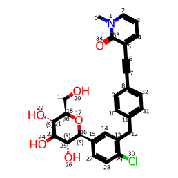 Cn1cccc(C#Cc2ccc(Cc3cc([C@@H]4O[C@H](CO)[C@@H](O)C(O)[C@H]4O)ccc3Cl)cc2)c1=O